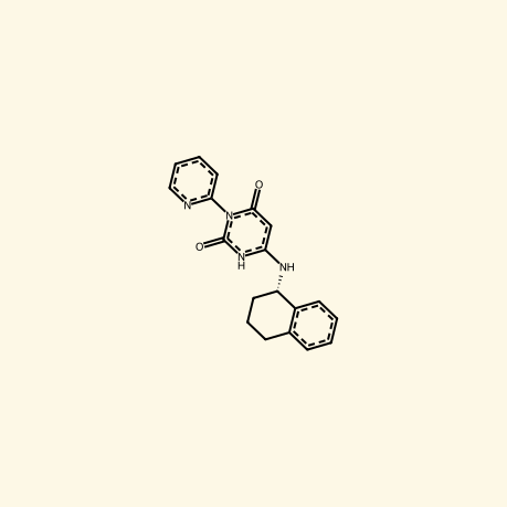 O=c1cc(N[C@H]2CCCc3ccccc32)[nH]c(=O)n1-c1ccccn1